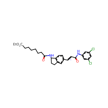 CCOC(=O)CCCCCCC(=O)NC1CCc2cc(/C=C/C(=O)Nc3cc(Cl)cc(Cl)c3)ccc21